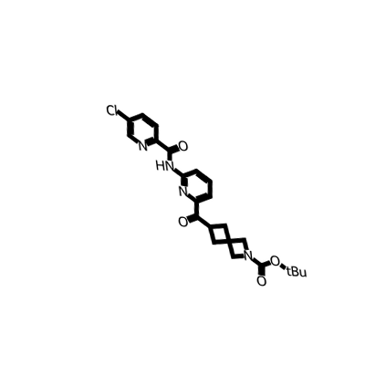 CC(C)(C)OC(=O)N1CC2(CC(C(=O)c3cccc(NC(=O)c4ccc(Cl)cn4)n3)C2)C1